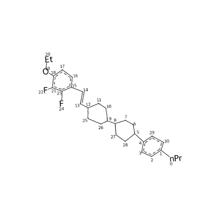 CCCc1ccc(C2CCC(C3CCC(/C=C/c4ccc(OCC)c(F)c4F)CC3)CC2)cc1